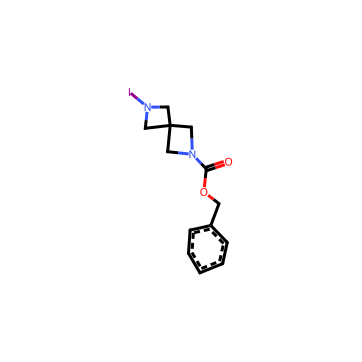 O=C(OCc1ccccc1)N1CC2(CN(I)C2)C1